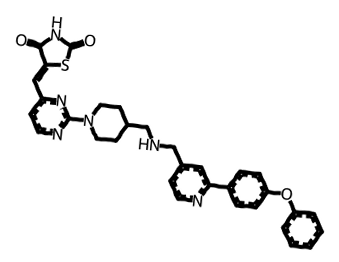 O=C1NC(=O)C(=Cc2ccnc(N3CCC(CNCc4ccnc(-c5ccc(Oc6ccccc6)cc5)c4)CC3)n2)S1